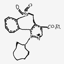 CCOC(=O)c1nn(C2CCCCC2)c2c1CS(=O)(=O)c1ccccc1-2